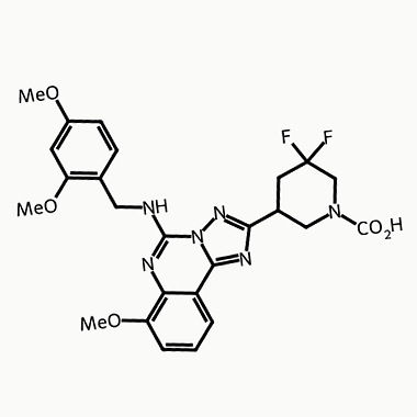 COc1ccc(CNc2nc3c(OC)cccc3c3nc(C4CN(C(=O)O)CC(F)(F)C4)nn23)c(OC)c1